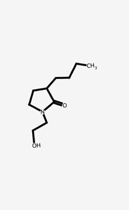 CCCCC1CCN(CCO)C1=O